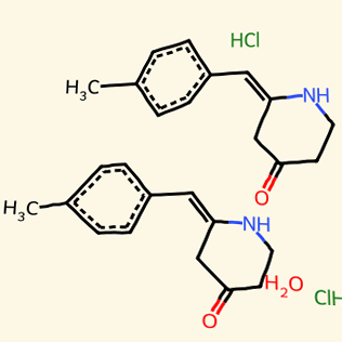 Cc1ccc(C=C2CC(=O)CCN2)cc1.Cc1ccc(C=C2CC(=O)CCN2)cc1.Cl.Cl.O